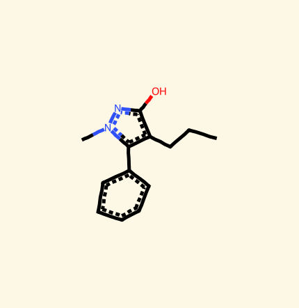 CCCc1c(O)nn(C)c1-c1ccccc1